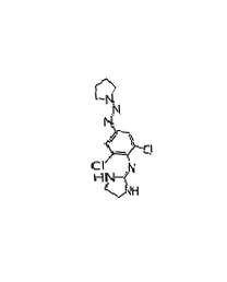 Clc1cc(N=NN2CCCC2)cc(Cl)c1N=C1NCCN1